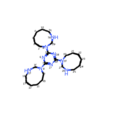 C1CCCN(c2nc(N3CCCCCCNC3)nc(N3CCCCCCNC3)n2)CNCC1